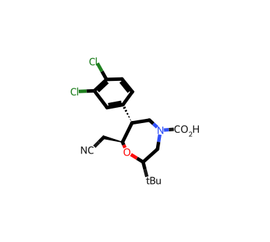 CC(C)(C)C1CN(C(=O)O)C[C@@H](c2ccc(Cl)c(Cl)c2)[C@H](CC#N)O1